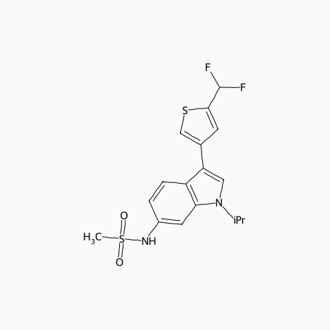 CC(C)n1cc(-c2csc(C(F)F)c2)c2ccc(NS(C)(=O)=O)cc21